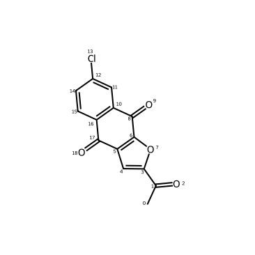 CC(=O)c1cc2c(o1)C(=O)c1cc(Cl)ccc1C2=O